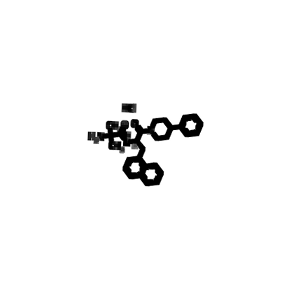 CC(C)(N)C(=O)N[C@H](Cc1cccc2ccccc12)C(=O)N1CCC(c2ccccc2)CC1.Cl